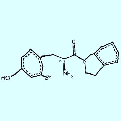 N[C@@H](Cc1ccc(O)cc1Br)C(=O)N1CCc2ccccc21